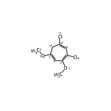 COC1=CC(OC)=C(Cl)C=C(Cl)C1